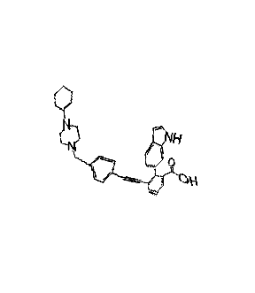 O=C(O)c1cccc(C#Cc2ccc(CN3CCN(C4CCCCC4)CC3)cc2)c1-c1ccc2cc[nH]c2c1